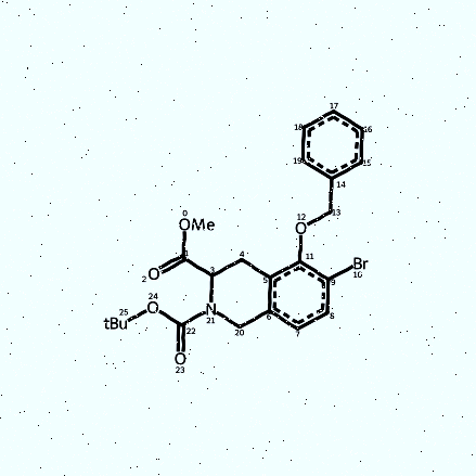 COC(=O)C1Cc2c(ccc(Br)c2OCc2ccccc2)CN1C(=O)OC(C)(C)C